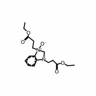 CCOC(=O)CCN1C[N+]([O-])(CCC(=O)OCC)c2ccccc21